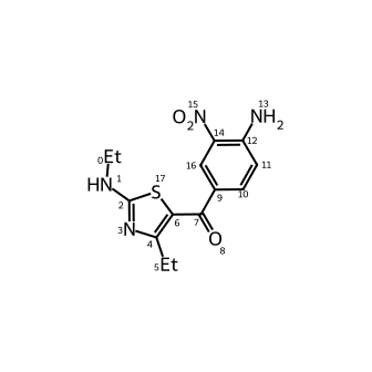 CCNc1nc(CC)c(C(=O)c2ccc(N)c([N+](=O)[O-])c2)s1